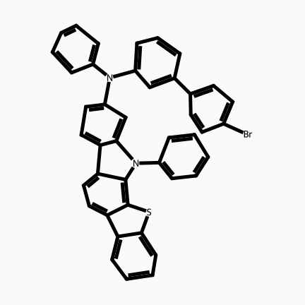 Brc1ccc(-c2cccc(N(c3ccccc3)c3ccc4c5ccc6c7ccccc7sc6c5n(-c5ccccc5)c4c3)c2)cc1